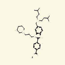 COC(=O)c1ccc(-c2nc3ccc(CN(CCC(C)C)CCC(C)C)cc3n2CCCN2CCCCC2)cc1